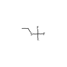 [CH2]C(F)(F)SCC